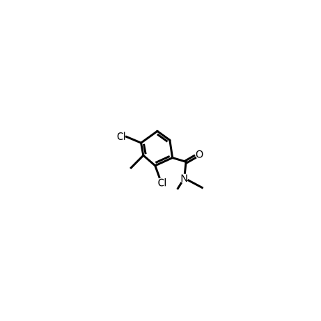 Cc1c(Cl)ccc(C(=O)N(C)C)c1Cl